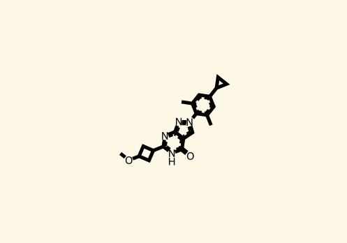 COC1CC(c2nc3nn(-c4c(C)cc(C5CC5)cc4C)cc3c(=O)[nH]2)C1